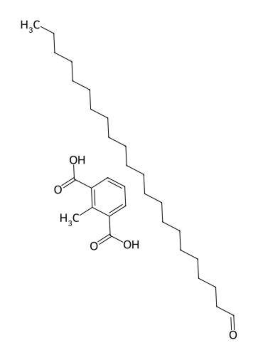 CCCCCCCCCCCCCCCCCCCCCC=O.Cc1c(C(=O)O)cccc1C(=O)O